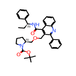 CC[C@H](NC(=O)c1c(COC[C@@H]2CCCN2C(=O)OC(C)(C)C)c(-c2ccccc2)nc2ccccc12)c1ccccc1